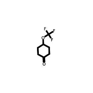 O=C1CCC(OC(F)(F)F)CC1